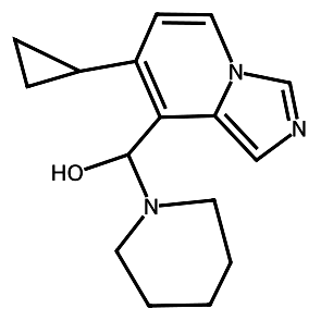 OC(c1c(C2CC2)ccn2cncc12)N1CCCCC1